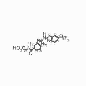 Cn1c(Nc2nc3ccc(OC(F)(F)F)cc3s2)nc2cc(C(=O)NCC(=O)O)ccc21